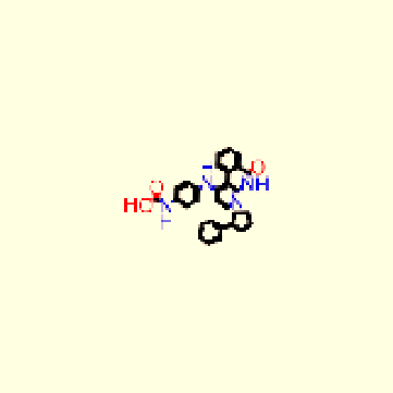 O=C(O)Nc1ccc(Nc2ccnc3[nH]c(=O)c4ccccc4c23)cc1.c1ccc(C2CCCC2)cc1